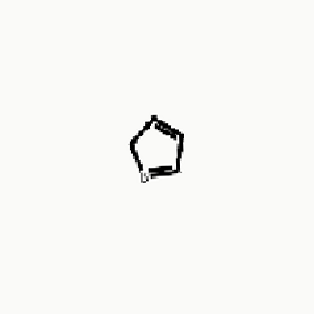 B1=[C]C=CC1